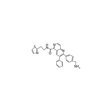 NCc1ccc(-c2nc3ccnc(C(=O)NCCc4nccs4)c3cc2-c2ccccc2)cc1